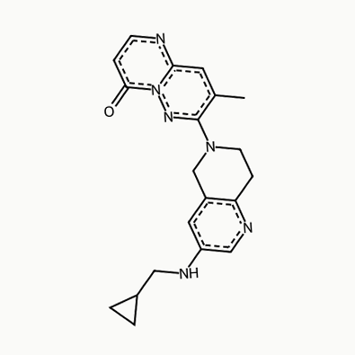 Cc1cc2nccc(=O)n2nc1N1CCc2ncc(NCC3CC3)cc2C1